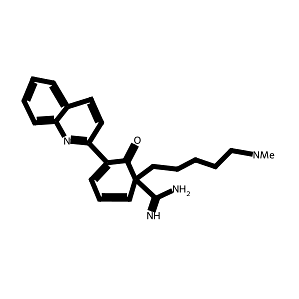 CNCCCCCC1(C(=N)N)C=CC=C(c2ccc3ccccc3n2)C1=O